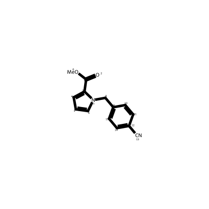 COC(=O)c1cccn1Cc1ccc(C#N)cc1